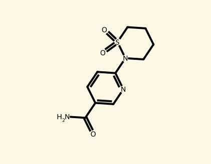 NC(=O)c1ccc(N2CCCCS2(=O)=O)nc1